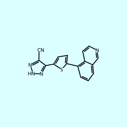 N#Cc1n[nH]nc1-c1ccc(-c2cccc3cnccc23)s1